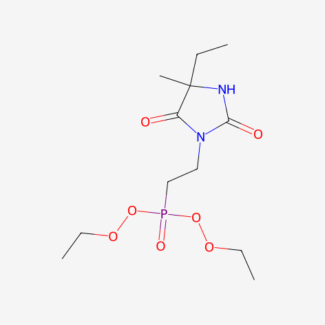 CCOOP(=O)(CCN1C(=O)NC(C)(CC)C1=O)OOCC